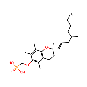 Cc1c(C)c2c(c(C)c1OCP(=O)(O)O)CCC(C)(/C=C/CC(C)CCCC(C)C)O2